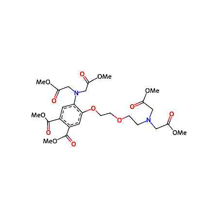 COC(=O)CN(CCOCCOc1cc(C(=O)OC)c(C(=O)OC)cc1N(CC(=O)OC)CC(=O)OC)CC(=O)OC